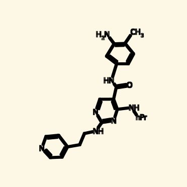 CCCNc1nc(NCCc2ccncc2)ncc1C(=O)Nc1ccc(C)c(N)c1